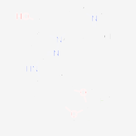 Cc1cc(-n2nc(Nc3ccc4c(c3)OC(F)(F)O4)cc2CO)ccn1